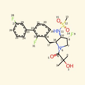 CC(C)(O)C(=O)N1C[C@@H](F)[C@H](NS(C)(=O)=O)[C@@H]1Cc1cccc(-c2cccc(F)c2)c1F